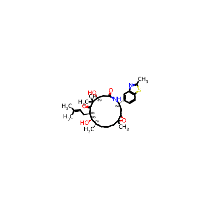 CC(C)=CC[C@H]1C(=O)C(C)(C)[C@@H](O)CC(=O)N[C@H](c2ccc3sc(C)nc3c2)CC2OC2(C)CCC[C@H](C)[C@H]1O